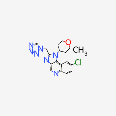 C[C@@H]1C[C@H](n2c(Cn3cnnn3)nc3cnc4ccc(Cl)cc4c32)CCO1